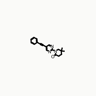 CC1(C)CCC(=O)N(c2ncc(C#Cc3ccccc3)cn2)C1